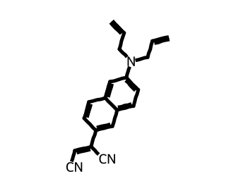 C=CCN(CC=C)c1ccc2cc(/C(C#N)=C/C#N)ccc2c1